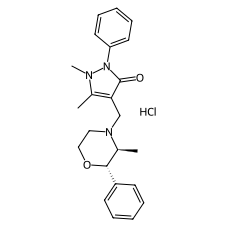 Cc1c(CN2CCO[C@@H](c3ccccc3)[C@@H]2C)c(=O)n(-c2ccccc2)n1C.Cl